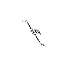 CC(C)C(C)C.CCCCCCCCCCCCCCCCCC(=O)OCCCCCCCCC.N